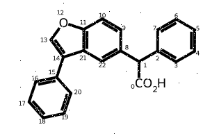 O=C(O)C(c1ccccc1)c1ccc2occ(-c3ccccc3)c2c1